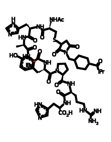 CC[C@H](C)C(NC(=O)[C@@H](C)NC(=O)[C@H](Cc1cnc[nH]1)NC(=O)[C@@H](CSC1CC(=O)N(CC2CCC(C(=O)C(C)C)CC2)C1=O)NC(C)=O)C(=O)N[C@@H](Cc1ccc(O)cc1)C(=O)N1CCC[C@H]1C(=O)N[C@@H](CCCNC(=N)N)C(=O)N[C@@H](Cc1cnc[nH]1)C(=O)O